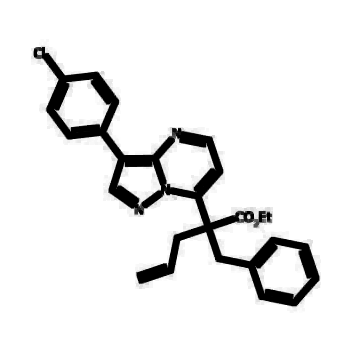 C=CCC(Cc1ccccc1)(C(=O)OCC)c1ccnc2c(-c3ccc(Cl)cc3)cnn12